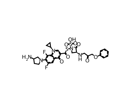 NC1CCN(c2c(F)cc3c(=O)c(C(=O)S[N+]4(S(=O)(=O)O)C[C@H](NCC(=O)COc5ccccc5)C4=O)cn(C4CC4)c3c2F)C1